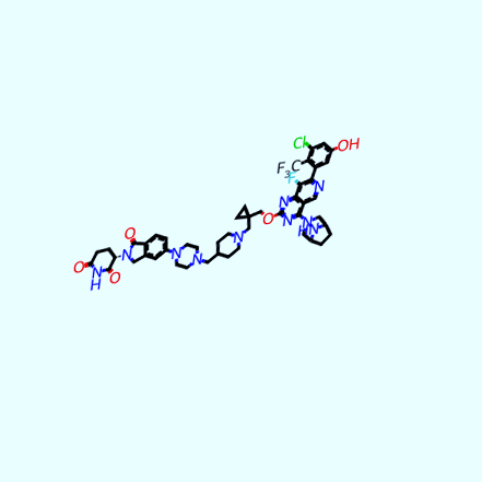 O=C1CC[C@H](N2Cc3cc(N4CCN(CC5CCN(CC6(COc7nc(N8CC9CCC(C8)N9)c8cnc(-c9cc(O)cc(Cl)c9C(F)(F)F)c(F)c8n7)CC6)CC5)CC4)ccc3C2=O)C(=O)N1